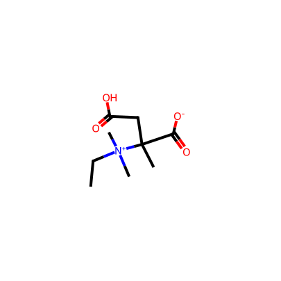 CC[N+](C)(C)C(C)(CC(=O)O)C(=O)[O-]